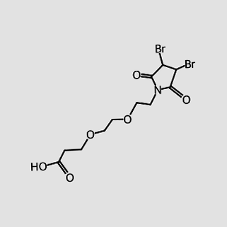 O=C(O)CCOCCOCCN1C(=O)C(Br)C(Br)C1=O